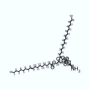 CCCCCCCC/C=C/CCCCCCCC(=O)OCC(COP(=O)(O)OCCN)OC(=O)CCCCCCC/C=C/CCCCCCCC